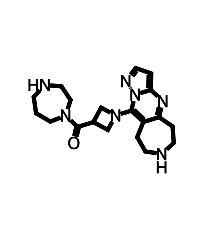 O=C(C1CN(c2c3c(nc4ccnn24)CCNCC3)C1)N1CCCNCC1